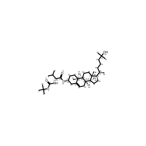 CC(C)[C@@H](NC(=O)OC(C)(C)C)C(=O)O[C@H]1CC[C@@]2(C)C(=CC[C@H]3[C@@H]4CC[C@H]([C@H](C)CCCC(C)(C)O)[C@@]4(C)CC[C@@H]32)C1